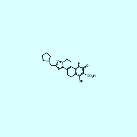 O=C(O)c1c(O)c2c([nH]c1=O)C1=C(CC2)c2cc(CN3CCCC3)[nH]c2CC1